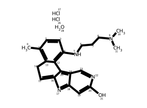 Cc1ccc(NCCCN(C)C)c2c1CC=C1N=c3cc(O)ncc3=C12.Cl.Cl.O